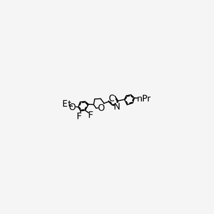 CCCc1ccc(-c2ccc(C3CCC(c4ccc(OCC)c(F)c4F)CO3)cn2)cc1